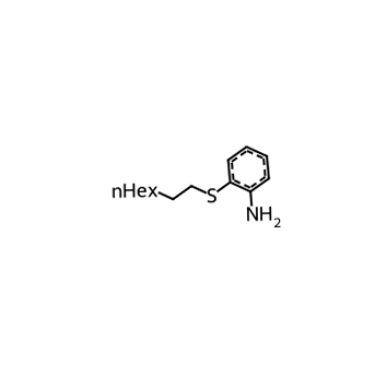 CCCCCCCCSc1ccccc1N